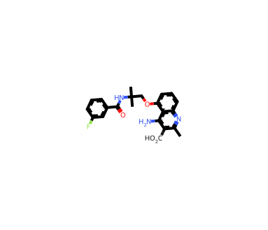 Cc1nc2cccc(OCC(C)(C)NC(=O)c3cccc(F)c3)c2c(N)c1C(=O)O